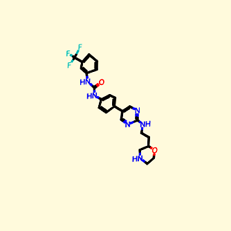 O=C(Nc1ccc(-c2cnc(NCCC3CNCCO3)nc2)cc1)Nc1cccc(C(F)(F)F)c1